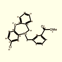 COC(=O)c1cccc(CN2Cc3ccccc3Oc3ccc(Cl)cc32)c1